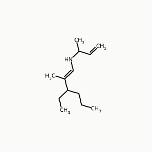 C=CC(C)N/C=C(\C)C(CC)CCC